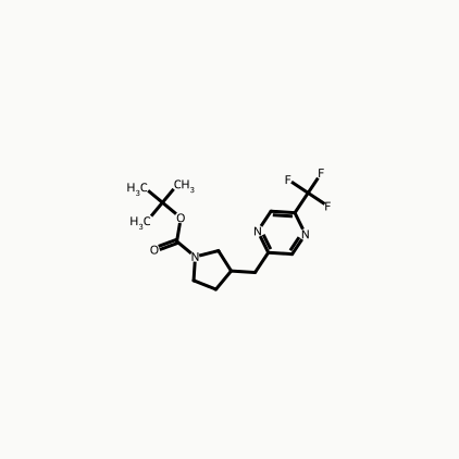 CC(C)(C)OC(=O)N1CCC(Cc2cnc(C(F)(F)F)cn2)C1